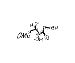 COCC(C)N(O)C(=O)OC(C)(C)C